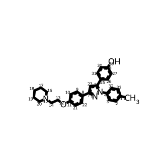 Cc1ccc(-n2nc(-c3ccc(OCCN4CCCCC4)cc3)cc2-c2ccc(O)cc2)cc1